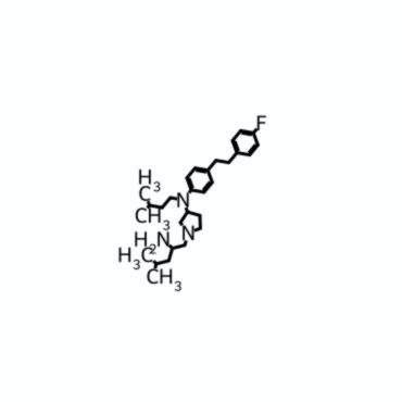 CC(C)CCN(c1ccc(CCc2ccc(F)cc2)cc1)C1CCN(CC(N)CC(C)C)C1